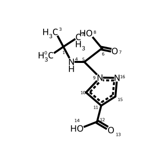 CC(C)(C)NC(C(=O)O)n1cc(C(=O)O)cn1